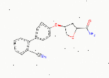 N#Cc1ccccc1-c1ccc(O[C@H]2[CH]C(C(N)=O)OC2)cc1